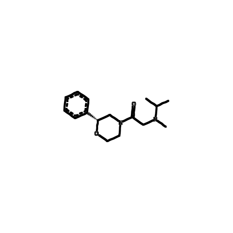 CC(C)N(C)CC(=O)N1CCO[C@H](c2ccccc2)C1